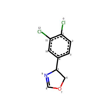 Clc1ccc(C2CO[C]=N2)cc1Cl